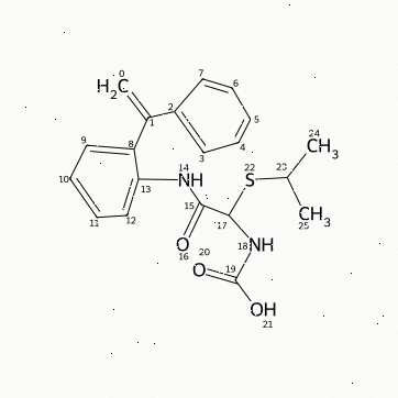 C=C(c1ccccc1)c1ccccc1NC(=O)C(NC(=O)O)SC(C)C